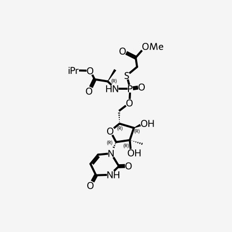 COC(=O)CSP(=O)(N[C@H](C)C(=O)OC(C)C)OC[C@H]1O[C@@H](n2ccc(=O)[nH]c2=O)[C@](C)(O)[C@@H]1O